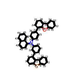 c1cc(-c2cccc3sc4ccccc4c23)cc(N(c2ccc(-c3cccc4c3oc3ccccc34)cc2)c2cccc3ccccc23)c1